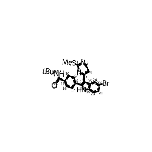 CSc1nccc(-c2c(-c3ccc(C(=O)NC(C)(C)C)cc3)[nH]c3ccc(Br)cc23)n1